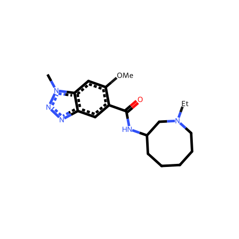 CCN1CCCCCC(NC(=O)c2cc3nnn(C)c3cc2OC)C1